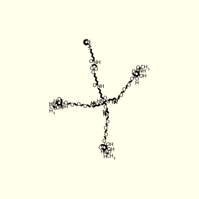 CC(=O)N[C@H]1[C@H]2OC[C@](COCCOCCOCCOCCn3cc(COCC(COCc4cn(CCOCCOCCOCCOC[C@@]56CO[C@@H](O5)[C@H](NC(C)=O)[C@@H](O)C6O)nn4)(COCc4cn(CCOCCOCCOCCOC[C@@]56CO[C@@H](O5)[C@H](NC(C)=O)[C@@H](O)[C@H]6O)nn4)NC(=O)CCCCCNC(=O)CCCCCOC4OCC(NC(=O)CCCCCSSc5ccccn5)CO4)nn3)(O2)[C@H](O)[C@@H]1O